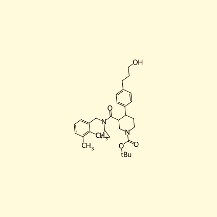 Cc1cccc(CN(C(=O)C2CN(C(=O)OC(C)(C)C)CCC2c2ccc(CCCO)cc2)C2CC2)c1C